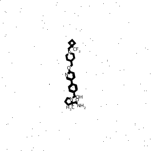 C[C@@]1(C(N)=O)CCCN1C(O)c1ccc(-c2ccc(OCC3CCN(CC4(C(F)(F)F)CCC4)CC3)nc2)cc1